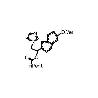 CCCCCC(=O)OC(Cn1ccnc1)c1ccc2cc(OC)ccc2c1